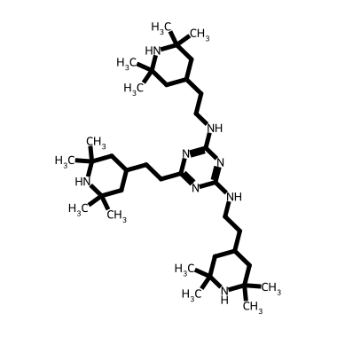 CC1(C)CC(CCNc2nc(CCC3CC(C)(C)NC(C)(C)C3)nc(NCCC3CC(C)(C)NC(C)(C)C3)n2)CC(C)(C)N1